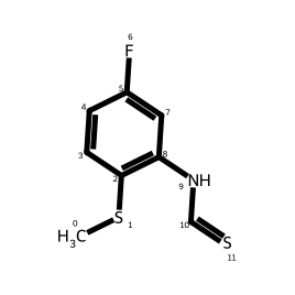 CSc1ccc(F)cc1NC=S